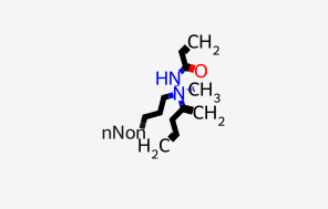 C=CCC(=C)[N+](C)(CCCCCCCCCCCC)NC(=O)C=C